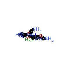 Cc1cc(C(=O)NC2CCC(N)CC2)ccc1-c1ccc(C[C@H](NC(=O)C2CCC(CN)CC2)C(=O)Nc2ccc(-c3nn[nH]n3)cc2)cc1.Cl